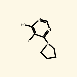 Oc1ncnc(N2CCCC2)c1F